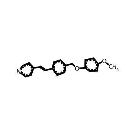 COc1ccc(OCc2ccc(C=Cc3ccncc3)cc2)cc1